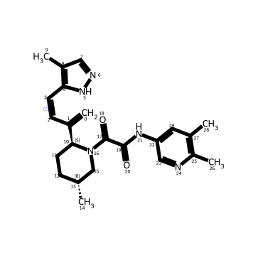 C=C(/C=C\c1[nH]ncc1C)[C@@H]1CC[C@@H](C)CN1C(=O)C(=O)Nc1cnc(C)c(C)c1